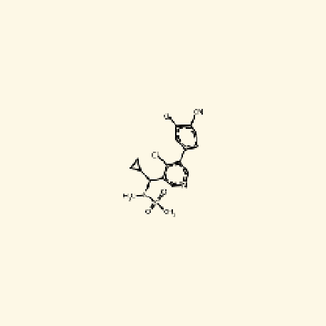 CN(C(c1cncc(-c2ccc(C#N)c(Cl)c2)c1Cl)C1CC1)S(C)(=O)=O